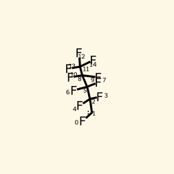 F[C]C(F)(F)C(F)(F)C(F)(F)C(F)(F)F